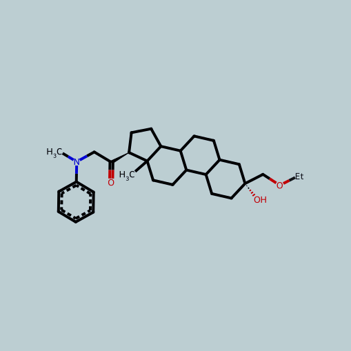 CCOC[C@@]1(O)CCC2C(CCC3C2CCC2(C)C3CC[C@@H]2C(=O)CN(C)c2ccccc2)C1